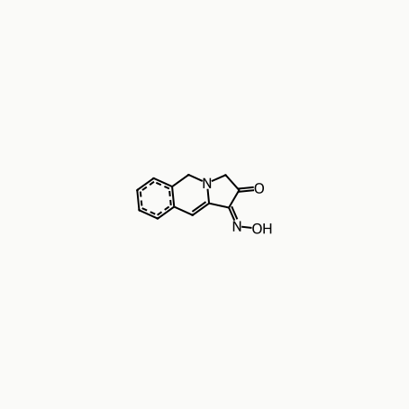 O=C1CN2Cc3ccccc3C=C2C1=NO